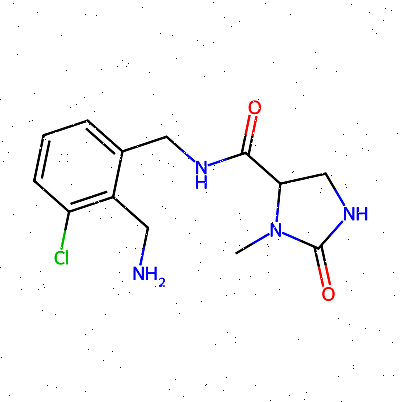 CN1C(=O)NCC1C(=O)NCc1cccc(Cl)c1CN